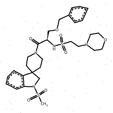 CS(=O)(=O)N1CC2(CCN(C(=O)[C@@H](COCc3ccccc3)NS(=O)(=O)CCN3CCOCC3)CC2)c2ccccc21